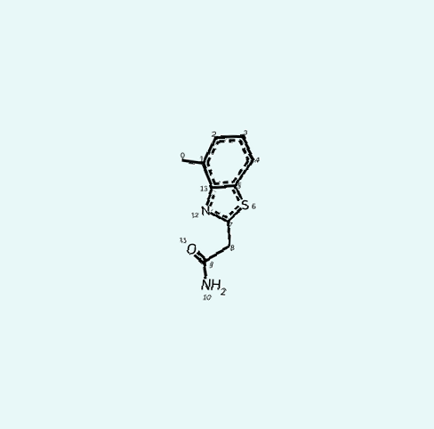 Cc1cccc2sc(CC(N)=O)nc12